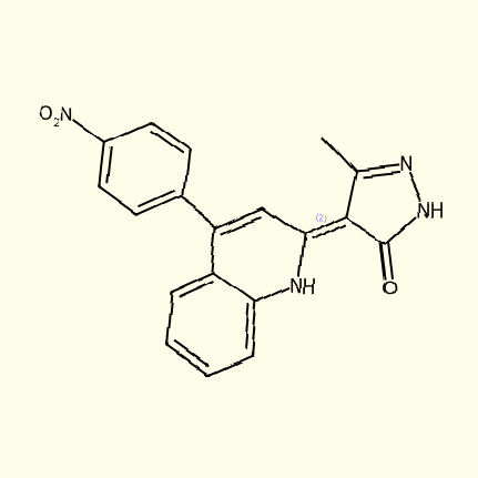 CC1=NNC(=O)/C1=C1/C=C(c2ccc([N+](=O)[O-])cc2)c2ccccc2N1